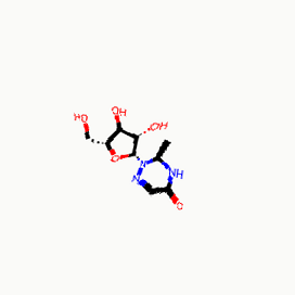 C=C1NC(=O)C=NN1[C@@H]1O[C@H](CO)C(O)[C@@H]1O